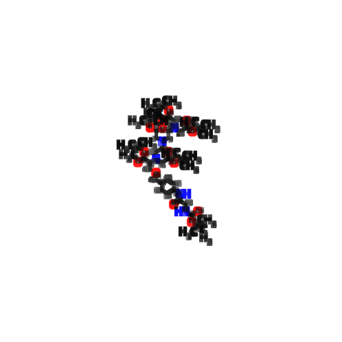 CC(C)(C)OC(=O)CN(CCN(CC(=O)OC(C)(C)C)CC(=O)OC(C)(C)C)CCN(CC(=O)OC(C)(C)C)C(COCc1ccc(NC(=O)CNC(=O)OC(C)(C)C)cc1)C(=O)OC(C)(C)C